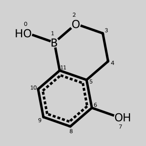 OB1OCCc2c(O)cccc21